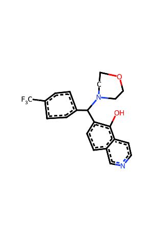 Oc1c(C(c2ccc(C(F)(F)F)cc2)N2CCOCC2)ccc2cnccc12